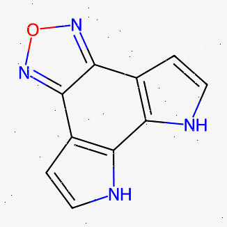 c1cc2c3nonc3c3cc[nH]c3c2[nH]1